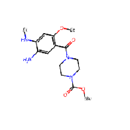 CCNc1cc(OCC)c(C(=O)N2CCN(C(=O)OC(C)(C)C)CC2)cc1N